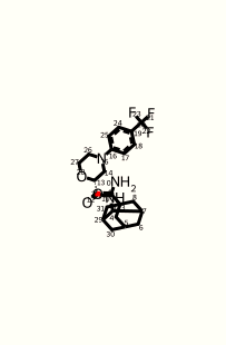 NC(=O)C12CC3CC(C1)C(NC(=O)[C@H]1CN(c4ccc(C(F)(F)F)cc4)CCO1)C(C3)C2